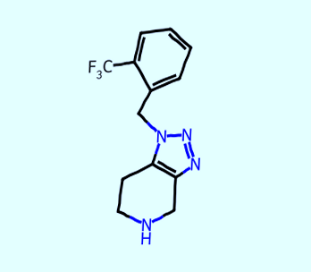 FC(F)(F)c1ccccc1Cn1nnc2c1CCNC2